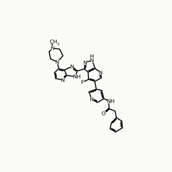 CN1CCN(c2ccnc3[nH]c(-c4n[nH]c5ncc(-c6cncc(NC(=O)Cc7ccccc7)c6)c(F)c45)nc23)CC1